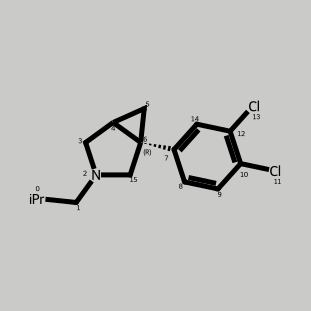 CC(C)CN1CC2C[C@@]2(c2ccc(Cl)c(Cl)c2)C1